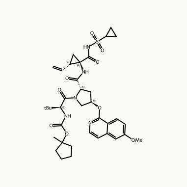 C=C[C@@H]1C[C@]1(NC(=O)[C@@H]1C[C@@H](Oc2nccc3cc(OC)ccc23)CN1C(=O)[C@@H](NC(=O)OC1(C)CCCC1)C(C)(C)C)C(=O)NS(=O)(=O)C1CC1